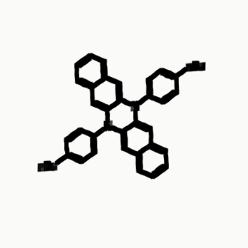 CCCCc1ccc(N2c3cc4ccccc4cc3N(c3ccc(CCCC)cc3)c3cc4ccccc4cc32)cc1